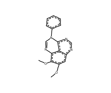 COc1cc2ncnc3c2c(c1OC)N=CN3c1ccccc1